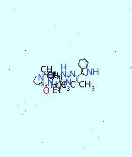 C=N/C(=N\C(=C(C)C)c1c[nH]c2ccccc12)N[C@H](CC)C[C@H](CC)NC(=O)[C@@H]1CCCN1C(=C)C